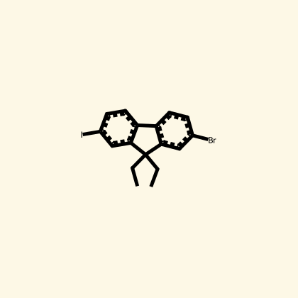 CCC1(CC)c2cc(Br)ccc2-c2ccc(I)cc21